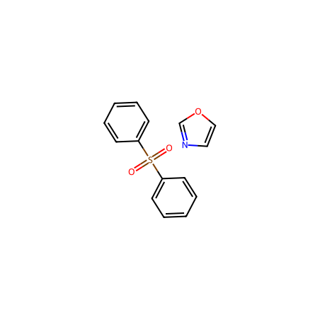 O=S(=O)(c1ccccc1)c1ccccc1.c1cocn1